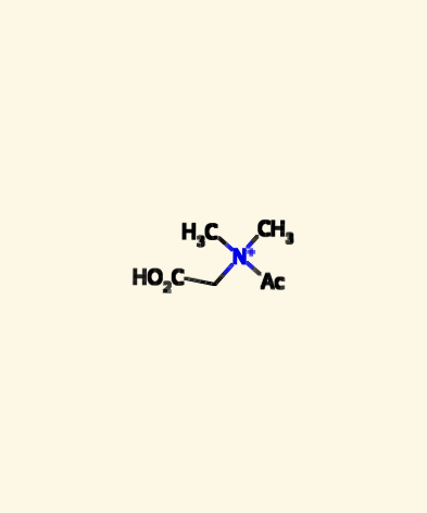 CC(=O)[N+](C)(C)CC(=O)O